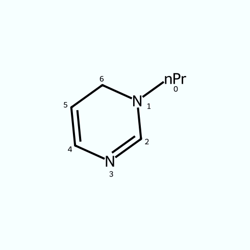 CCCN1C=NC=CC1